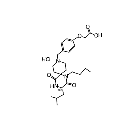 CCCCN1C(=O)[C@H](CC(C)C)NC(=O)C12CCN(Cc1ccc(OCC(=O)O)cc1)CC2.Cl